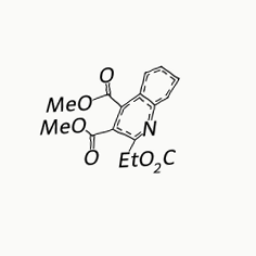 CCOC(=O)c1nc2ccccc2c(C(=O)OC)c1C(=O)OC